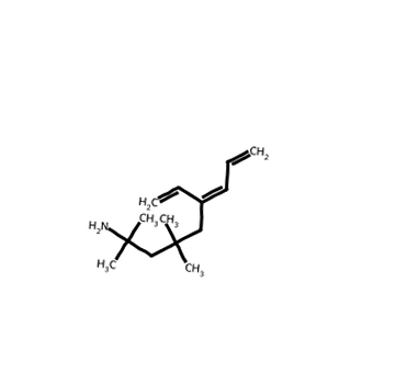 C=C/C=C(\C=C)CC(C)(C)CC(C)(C)N